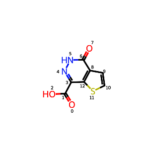 O=C(O)c1n[nH]c(=O)c2ccsc12